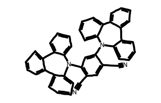 N#Cc1cc(C#N)c(N2c3ccccc3-c3ccccc3-c3ccccc32)cc1N1c2ccccc2-c2ccccc2-c2ccccc21